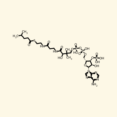 CC(C)CCC(=O)SCCNC(=O)CCNC(=O)C(O)C(C)(C)COP(=O)(O)OP(=O)(O)OC[C@H]1O[C@@H](n2cnc3c(N)ncnc32)[C@H](O)[C@@H]1OP(=O)(O)O